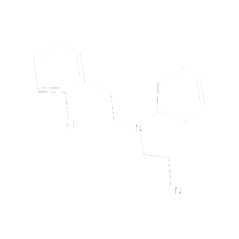 N#CCCN(CCc1ccccc1Cl)c1ccccc1